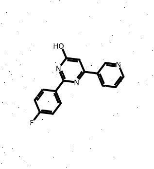 Oc1cc(-c2cccnc2)nc(-c2ccc(F)cc2)n1